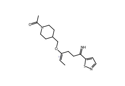 C/C=C(\CCC(=N)c1ccns1)OCC1CCN(C(C)=O)CC1